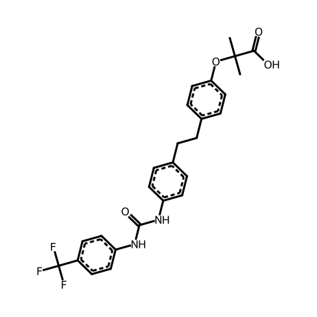 CC(C)(Oc1ccc(CCc2ccc(NC(=O)Nc3ccc(C(F)(F)F)cc3)cc2)cc1)C(=O)O